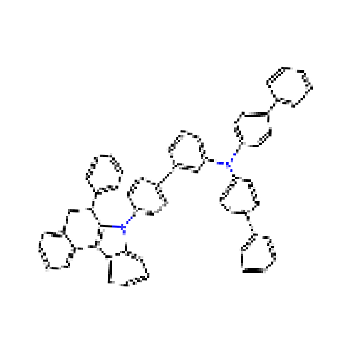 c1ccc(-c2ccc(N(c3ccc(-c4ccccc4)cc3)c3cccc(-c4ccc(-n5c6c(c7ccccc75)-c5ccccc5CC6c5ccccc5)cc4)c3)cc2)cc1